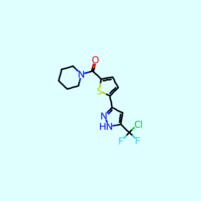 O=C(c1ccc(-c2cc(C(F)(F)Cl)[nH]n2)s1)N1CCCCC1